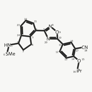 CSNC1CCc2c(-c3noc(-c4ccc(OC(C)C)c(C#N)c4)n3)cccc21